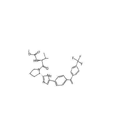 C=C(c1ccc(-c2cnc([C@@H]3CCCN3C(=O)[C@@H](NC(=O)OC)C(C)C)[nH]2)cc1)c1ccc(C(F)(F)F)cc1